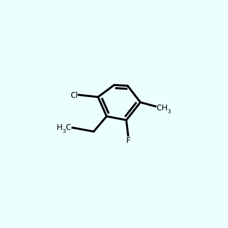 CCc1c(Cl)ccc(C)c1F